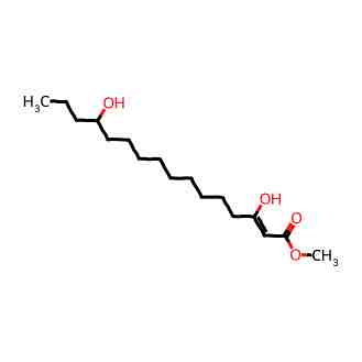 CCCC(O)CCCCCCCCCC(O)=CC(=O)OC